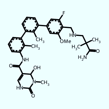 COc1cc(-c2cccc(-c3cccc(NC(=O)C4=CNC(=O)N(C)C4O)c3C)c2C)cc(F)c1CNCC(C)(C)C(N)=O